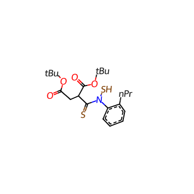 CCCc1ccccc1N(S)C(=S)C(CC(=O)OC(C)(C)C)C(=O)OC(C)(C)C